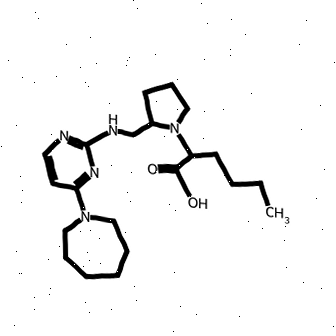 CCCCC(C(=O)O)N1CCCC1CNc1nccc(N2CCCCCC2)n1